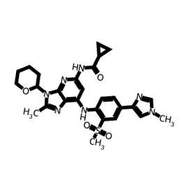 Cc1nc2c(Nc3ccc(-c4cn(C)cn4)cc3S(C)(=O)=O)cc(NC(=O)C3CC3)nc2n1C1CCCCO1